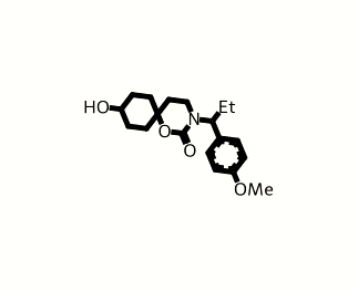 CCC(c1ccc(OC)cc1)N1CCC2(CCC(O)CC2)OC1=O